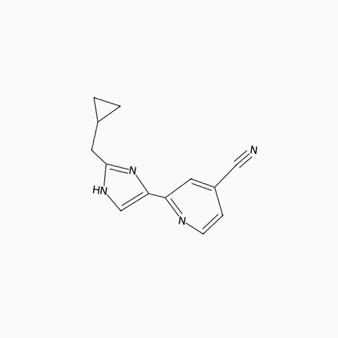 N#Cc1ccnc(-c2c[nH]c(CC3CC3)n2)c1